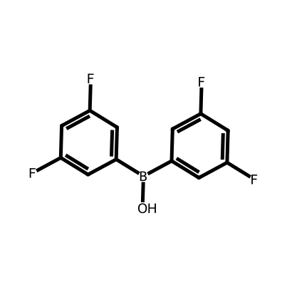 OB(c1cc(F)cc(F)c1)c1cc(F)cc(F)c1